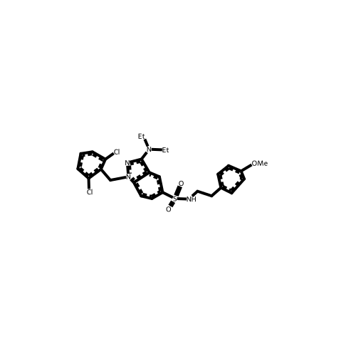 CCN(CC)c1nn(Cc2c(Cl)cccc2Cl)c2ccc(S(=O)(=O)NCCc3ccc(OC)cc3)cc12